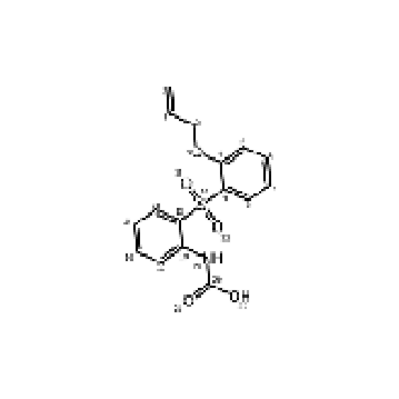 C=CCOc1ccccc1S(=O)(=O)c1ccccc1NC(=O)O